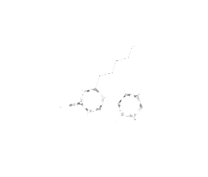 CCCCCc1cccc(=O)[nH]1.Oc1ccccc1